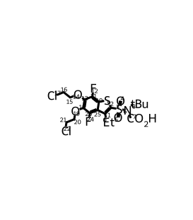 CCc1c(S(=O)(=O)N(C(=O)O)C(C)(C)C)sc2c(F)c(OCCCl)c(OCCCl)c(F)c12